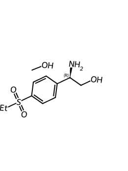 CCS(=O)(=O)c1ccc([C@@H](N)CO)cc1.CO